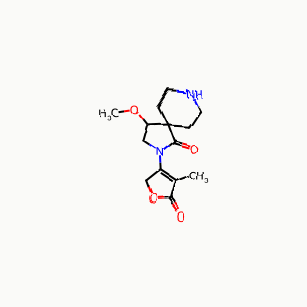 COC1CN(C2=C(C)C(=O)OC2)C(=O)C12CCNCC2